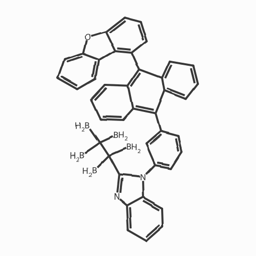 BC(B)(B)C(B)(B)c1nc2ccccc2n1-c1cccc(-c2c3ccccc3c(-c3cccc4oc5ccccc5c34)c3ccccc23)c1